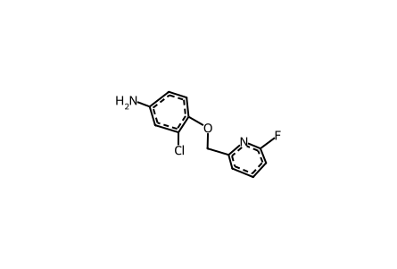 Nc1ccc(OCc2cccc(F)n2)c(Cl)c1